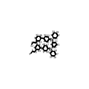 C/C=C/c1cccc(-c2ccc(N(c3ccccc3)c3cccc(N(c4ccccc4)c4ccc(-c5cccc(/C=C/C)c5)cc4)c3)cc2)c1